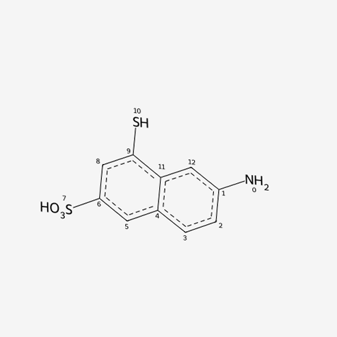 Nc1ccc2cc(S(=O)(=O)O)cc(S)c2c1